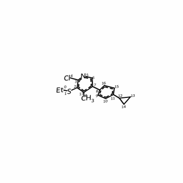 CCSc1c(Cl)ncc(-c2ccc(C3CC3)cc2)c1C